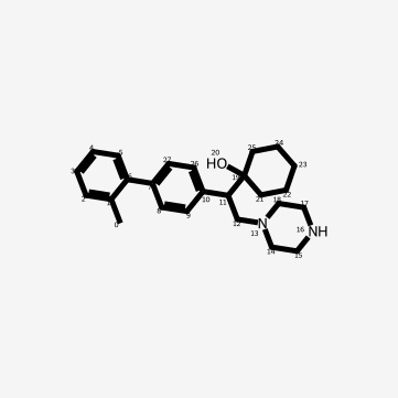 Cc1ccccc1-c1ccc(C(CN2CCNCC2)C2(O)CCCCC2)cc1